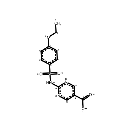 CCOc1ccc(S(=O)(=O)Nc2ncc(C(=O)O)cn2)cc1